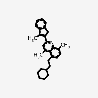 CC1=C(c2cc(C)c3c(CCC4CCCCC4)ccc(C)c3n2)Cc2ccccc21